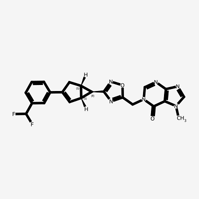 Cn1cnc2ncn(Cc3nc([C@H]4[C@@H]5C=C(c6cccc(C(F)F)c6)C[C@@H]54)no3)c(=O)c21